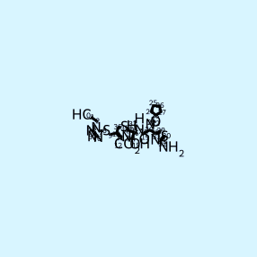 C#CCn1nnnc1SCC1=C(C(=O)O)N2C(=O)C(NC(=O)C(=NOC3CCCC3)c3csc(N)n3)[C@@H]2SC1